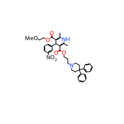 COCCOC(=O)C1=C(C)NC(C)=C(C(=O)OCCCN2CCC(c3ccccc3)(c3ccccc3)CC2)C1c1cccc([N+](=O)[O-])c1